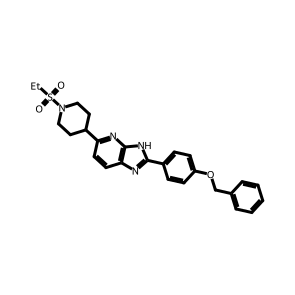 CCS(=O)(=O)N1CCC(c2ccc3nc(-c4ccc(OCc5ccccc5)cc4)[nH]c3n2)CC1